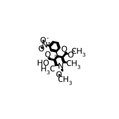 COCN1C(C)=C(C(=O)O)[C@@H](c2cccc([N+](=O)[O-])c2)C(C(=O)OC)=C1C